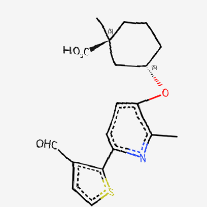 Cc1nc(-c2sccc2C=O)ccc1O[C@H]1CCC[C@](C)(C(=O)O)C1